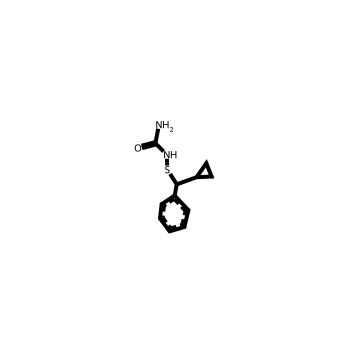 NC(=O)NSC(c1ccccc1)C1CC1